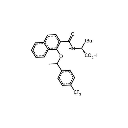 CC(Oc1c(C(=O)N[C@H](C(=O)O)C(C)(C)C)ccc2ccccc12)c1ccc(C(F)(F)F)cc1